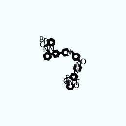 O=C(C1CCC(CN2CCC(c3ccc4c(c3)-n3c(nc(=O)c5c(Br)cccc53)C43CCCCC3)CC2)CC1)N1CCN(c2cc(F)c(N3C(=O)CCCC3=O)c(F)c2)CC1